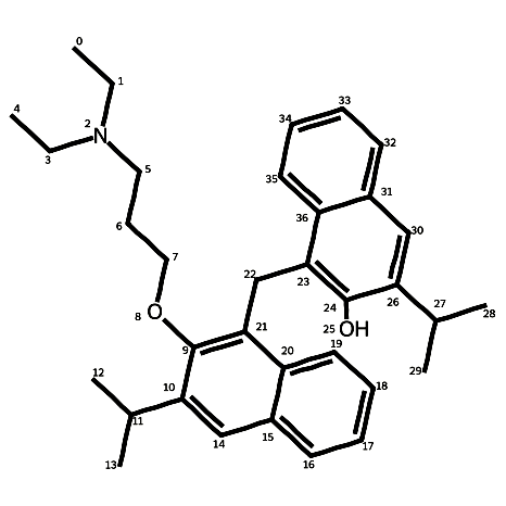 CCN(CC)CCCOc1c(C(C)C)cc2ccccc2c1Cc1c(O)c(C(C)C)cc2ccccc12